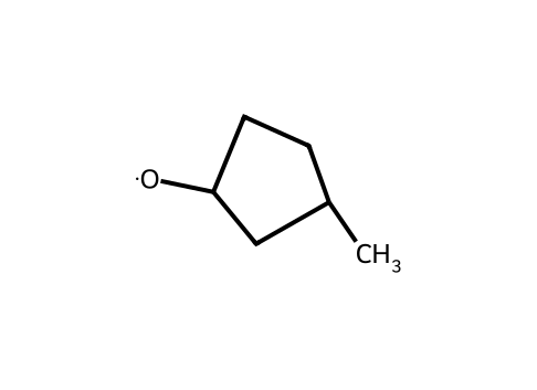 CC1CCC([O])C1